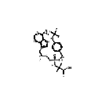 C[C@H](Cn1cnc2c(N)ncnc21)OCP(=O)(N[C@@H](C)c1ccc(OC(F)(F)F)cc1)NC(C)(C)C(=O)O